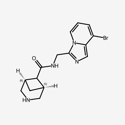 O=C(NCc1ncc2c(Br)cccn12)C1[C@@H]2CNC[C@H]1C2